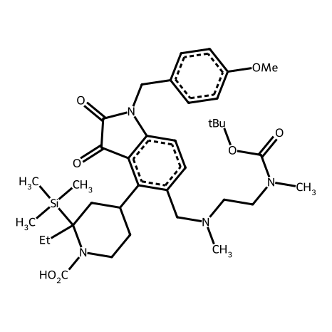 CCC1([Si](C)(C)C)CC(c2c(CN(C)CCN(C)C(=O)OC(C)(C)C)ccc3c2C(=O)C(=O)N3Cc2ccc(OC)cc2)CCN1C(=O)O